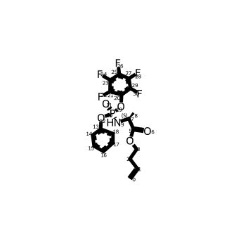 C=CCCOC(=O)[C@H](C)NP(=O)(Oc1ccccc1)Oc1c(F)c(F)c(F)c(F)c1F